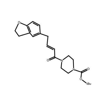 CC(C)(C)OC(=O)N1CCN(C(=O)/C=C/Cc2ccc3c(c2)CCO3)CC1